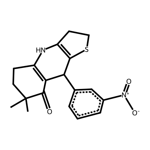 CC1(C)CCC2=C(C1=O)C(c1cccc([N+](=O)[O-])c1)C1=C(CCS1)N2